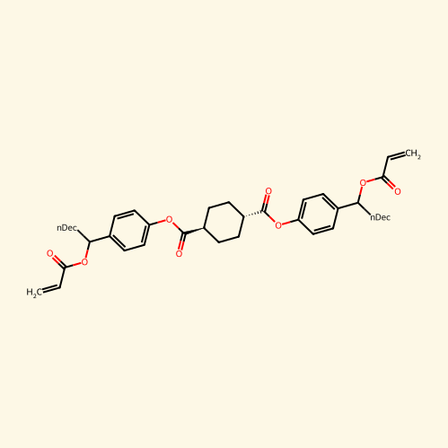 C=CC(=O)OC(CCCCCCCCCC)c1ccc(OC(=O)[C@H]2CC[C@H](C(=O)Oc3ccc(C(CCCCCCCCCC)OC(=O)C=C)cc3)CC2)cc1